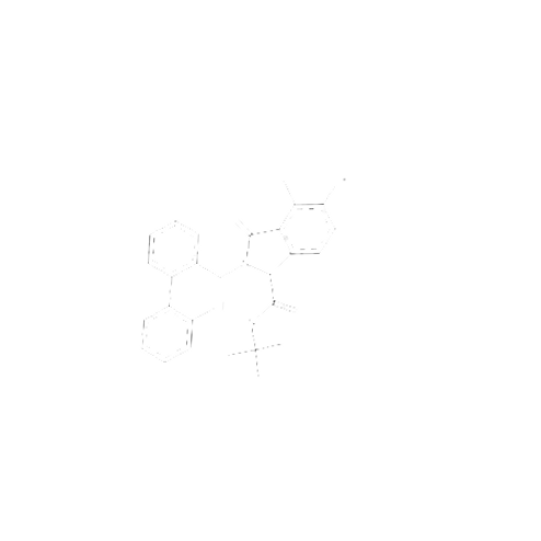 Cc1c(O)ccc2c1C(=O)N(Cc1ccccc1-c1ccccc1Cl)C2C(=O)NC(C)(C)C